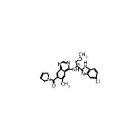 COC[C@H](Nc1ncnc2cc(C(=O)N3CC=CC3)c(C)cc12)c1nc2cc(Cl)ccc2[nH]1